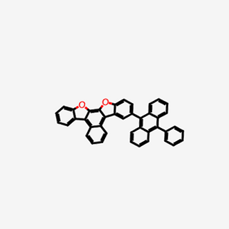 c1ccc(-c2c3ccccc3c(-c3ccc4oc5c6oc7ccccc7c6c6ccccc6c5c4c3)c3ccccc23)cc1